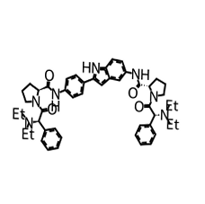 CCN(CC)[C@@H](C(=O)N1CCC[C@H]1C(=O)Nc1ccc(-c2cc3cc(NC(=O)[C@@H]4CCCN4C(=O)[C@@H](c4ccccc4)N(CC)CC)ccc3[nH]2)cc1)c1ccccc1